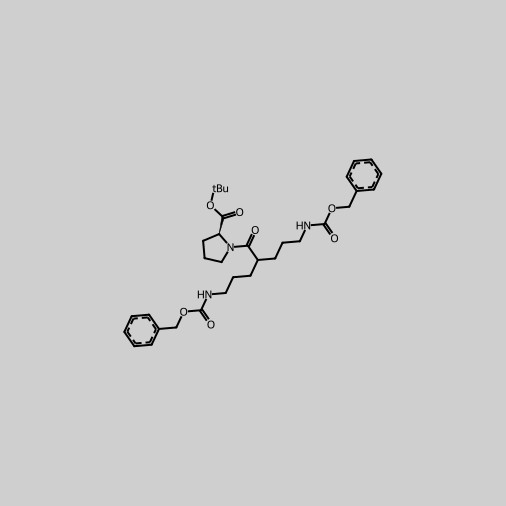 CC(C)(C)OC(=O)[C@@H]1CCCN1C(=O)C(CCCNC(=O)OCc1ccccc1)CCCNC(=O)OCc1ccccc1